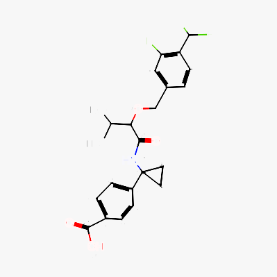 CC(C)C(OCc1ccc(C(F)F)c(F)c1)C(=O)NC1(c2ccc(C(=O)O)cc2)CC1